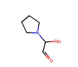 O=C[C](O)N1CCCC1